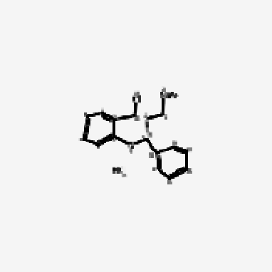 CNCC[C@@H](Oc1ccccc1CCl)c1ccccc1.Cl